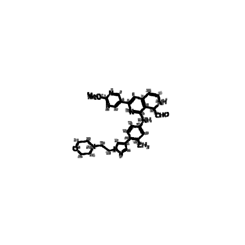 COc1ncc(-c2cc3c(c(Nc4ccc(-c5cnn(CCN6CCOCC6)c5)c(C)c4)n2)C(C=O)NC=C3)cn1